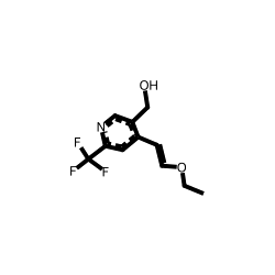 CCO/C=C/c1cc(C(F)(F)F)ncc1CO